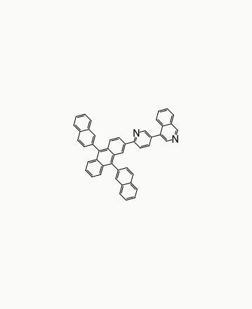 c1ccc2cc(-c3c4ccccc4c(-c4ccc5ccccc5c4)c4cc(-c5ccc(-c6cncc7ccccc67)cn5)ccc34)ccc2c1